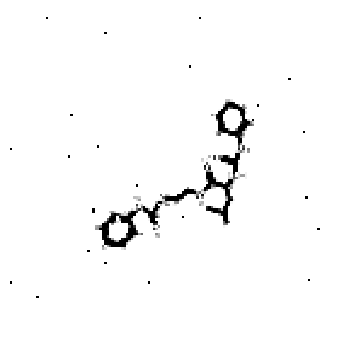 CC(C)CC(NC(=O)OC1=CCCC=C1)C(=O)OCCNC(=O)Oc1ccccc1